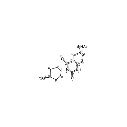 CC(=O)Nc1ccc2[nH]c(=O)n([C@H]3CC[C@H](C(C)(C)C)CC3)c(=O)c2c1